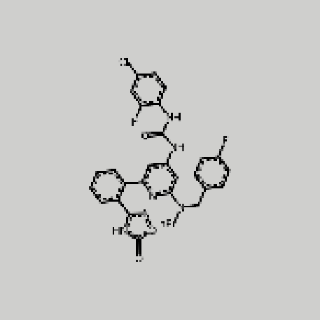 CCCN(Cc1ccc(F)cc1)c1cc(NC(=O)Nc2ccc(Cl)cc2F)cc(-c2ccccc2-c2noc(=O)[nH]2)n1